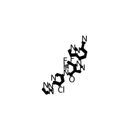 N#Cc1ccc(-n2ncc(C(=O)Nc3cnc(-n4nccn4)c(Cl)c3)c2C(F)(F)F)c2ccnn12